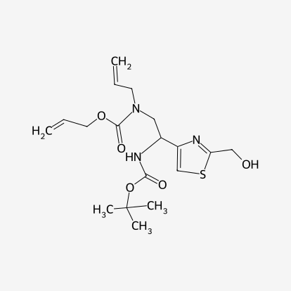 C=CCOC(=O)N(CC=C)CC(NC(=O)OC(C)(C)C)c1csc(CO)n1